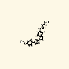 CC(C)Oc1cc(F)c(-c2nc(-n3ccc4cc(CNCCO)ccc43)no2)c(F)c1